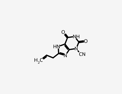 C=CCc1nc2c([nH]1)c(=O)[nH]c(=O)n2C#N